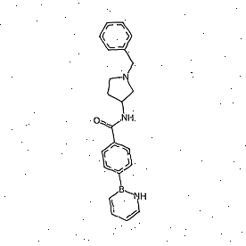 O=C(NC1CCN(Cc2ccccc2)C1)c1ccc(B2C=CC=CN2)cc1